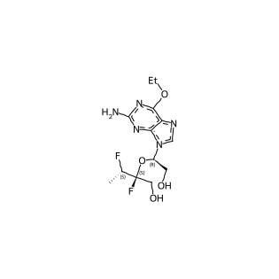 CCOc1nc(N)nc2c1ncn2[C@@H](CO)O[C@](F)(CO)[C@H](C)F